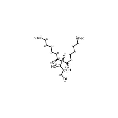 CCCCCCCCCCCCCCCC(=O)P(=O)(C(=O)CCCCCCCCCCCCCCC)C(O)C(O)CO